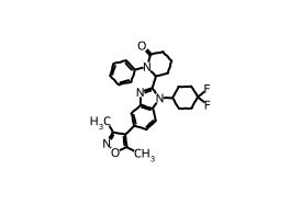 Cc1noc(C)c1-c1ccc2c(c1)nc(C1CCCC(=O)N1c1ccccc1)n2C1CCC(F)(F)CC1